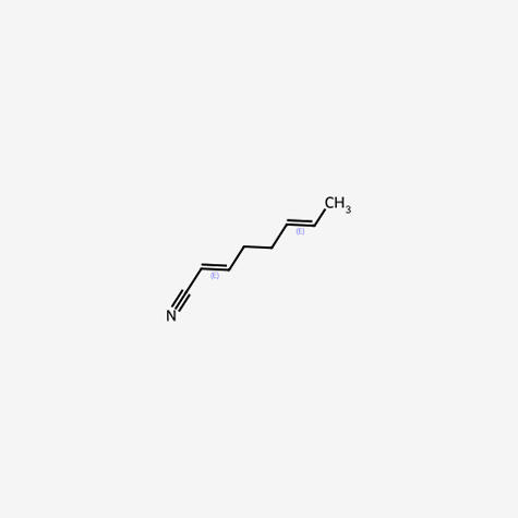 C/C=C/CC/C=C/C#N